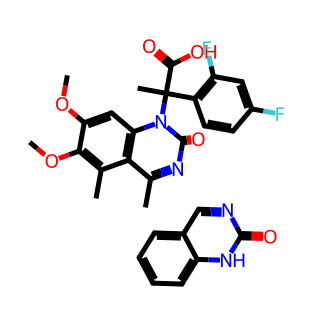 COc1cc2c(c(C)nc(=O)n2C(C)(C(=O)O)c2ccc(F)cc2F)c(C)c1OC.O=c1ncc2ccccc2[nH]1